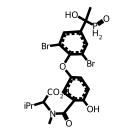 CC(C)C(C(=O)O)N(C)C(=O)c1cc(Oc2c(Br)cc(C(C)(O)[PH2]=O)cc2Br)ccc1O